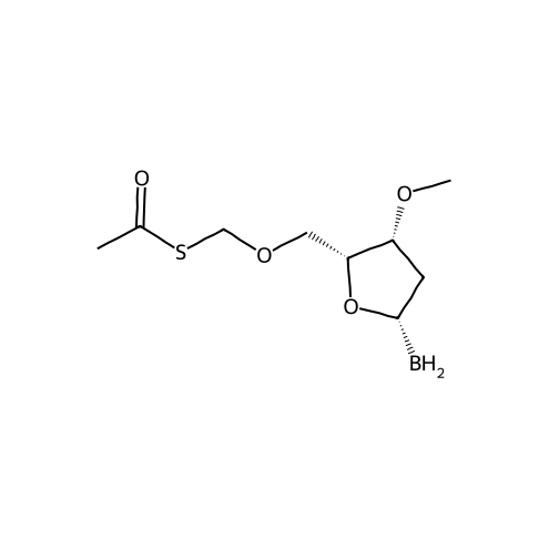 B[C@H]1C[C@@H](OC)[C@@H](COCSC(C)=O)O1